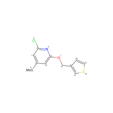 CSc1cc(Cl)nc(OCc2ccsc2)c1